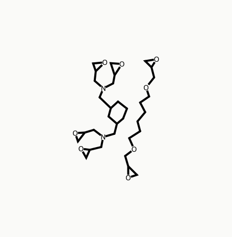 C(CCCOCC1CO1)CCOCC1CO1.C1CC(CN(CC2CO2)CC2CO2)CC(CN(CC2CO2)CC2CO2)C1